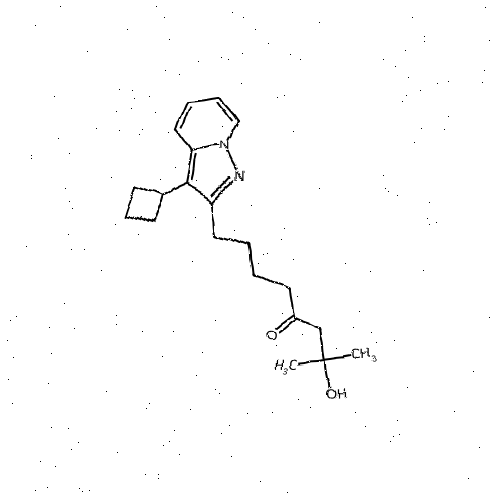 CC(C)(O)CC(=O)CCCCc1nn2ccccc2c1C1CCC1